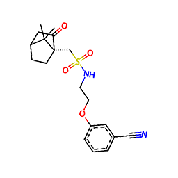 CC1(C)C2CC[C@]1(CS(=O)(=O)NCCOc1cccc(C#N)c1)C(=O)C2